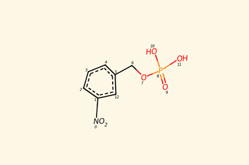 O=[N+]([O-])c1cccc(COP(=O)(O)O)c1